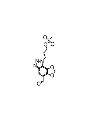 CS(=O)(=O)OCCCn1nnc2cc(C=O)c3c(c21)OCO3